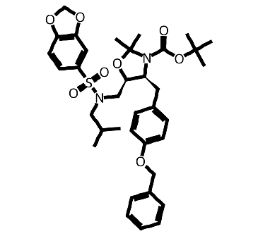 CC(C)CN(C[C@H]1OC(C)(C)N(C(=O)OC(C)(C)C)[C@H]1Cc1ccc(OCc2ccccc2)cc1)S(=O)(=O)c1ccc2c(c1)OCO2